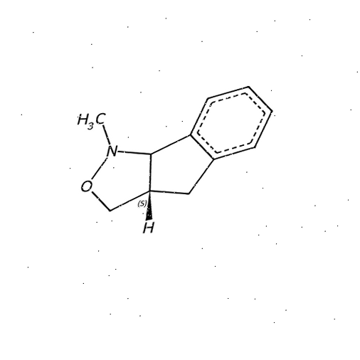 CN1OC[C@H]2Cc3ccccc3C21